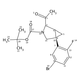 CC(=O)C1C2C[C@]2(c2cc(Br)ccc2F)CN1C(=O)OC(C)(C)C